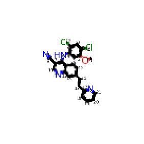 COc1cc(Nc2c(C#N)cnc3cc(C=Cc4ccccn4)ccc23)c(Cl)cc1Cl